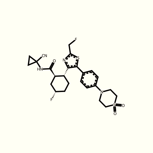 N#CC1(NC(=O)[C@@H]2C[C@@H](F)CC[C@H]2c2nc(CF)sc2-c2ccc(N3CCS(=O)(=O)CC3)cc2)CC1